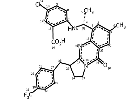 Cc1cc([C@@H](C)Nc2ccc(Cl)nc2C(=O)O)c2nc3n(c(=O)c2c1)CCC3Cc1ccc(C(F)(F)F)cc1